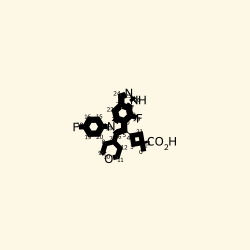 C[C@]1(C(=O)O)C[C@H](c2c(C3CCOCC3)n(-c3ccc(F)cc3)c3cc4cn[nH]c4c(F)c32)C1